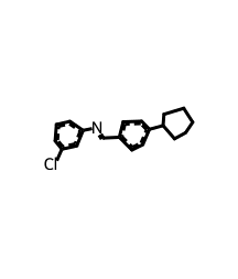 Clc1cccc(N=Cc2ccc(C3CCCCC3)cc2)c1